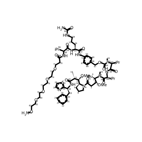 CC[C@H](C)C([C@@H](CC(=O)N1CCC[C@H]1[C@H](OC)[C@@H](C)C(=O)N[C@@H](Cc1ccccc1)c1nccs1)OC)N(C)C(=O)[C@@H](NC(=O)C(C(C)C)N(C)C(=O)OCc1ccc(NC(=O)[C@H](CCCNC(N)=O)NC(=O)C(NC(=O)CCOCCOCCOCCOCCON)C(C)C)cc1)C(C)C